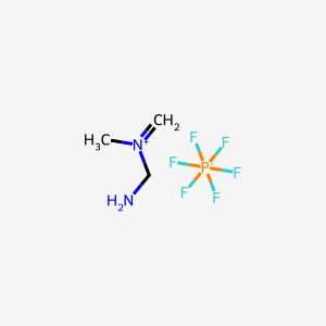 C=[N+](C)CN.F[P-](F)(F)(F)(F)F